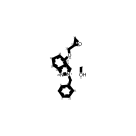 CO.c1ccc(Cn2cc3c(OCC4CO4)cccc3n2)cc1